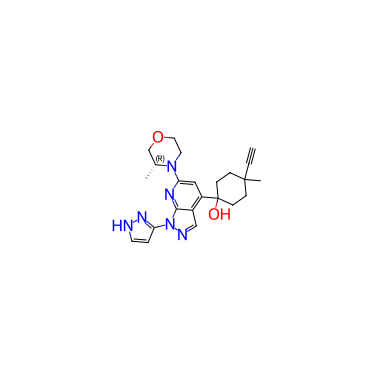 C#CC1(C)CCC(O)(c2cc(N3CCOC[C@H]3C)nc3c2cnn3-c2cc[nH]n2)CC1